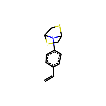 C=Cc1ccc(N2C3CSC2CS3)cc1